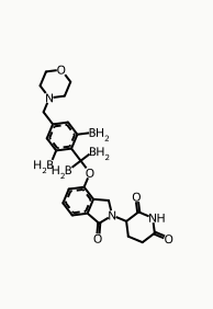 Bc1cc(CN2CCOCC2)cc(B)c1C(B)(B)Oc1cccc2c1CN(C1CCC(=O)NC1=O)C2=O